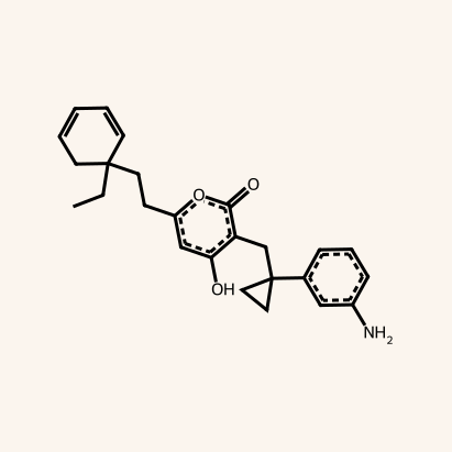 CCC1(CCc2cc(O)c(CC3(c4cccc(N)c4)CC3)c(=O)o2)C=CC=CC1